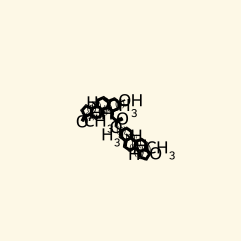 C[C@]12CC[C@H](OC(=O)CC3C[C@H](O)CC4=CC[C@H]5[C@@H]6CCC(=O)[C@@]6(C)CC[C@@H]5[C@]43C)CC1=CC[C@@H]1[C@@H]2CC[C@]2(C)C(=O)CC[C@@H]12